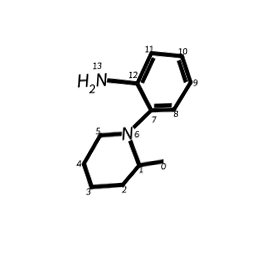 CC1CCCCN1c1ccccc1N